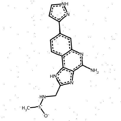 C[S+]([O-])NCc1nc2c(N)nc3cc(-c4cc[nH]n4)ccc3c2[nH]1